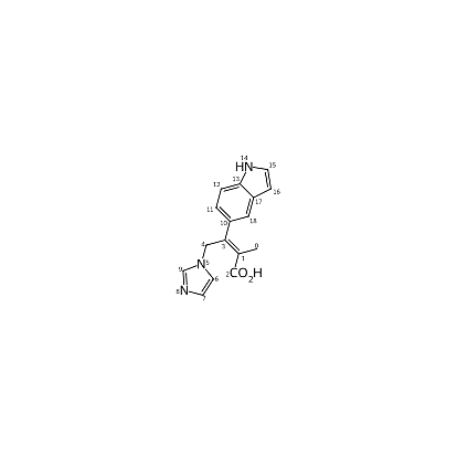 CC(C(=O)O)=C(Cn1ccnc1)c1ccc2[nH]ccc2c1